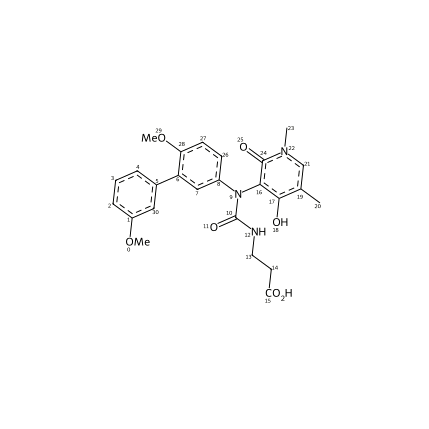 COc1cccc(-c2cc(N(C(=O)NCCC(=O)O)c3c(O)c(C)cn(C)c3=O)ccc2OC)c1